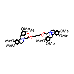 COc1ccc(C[C@@H]2c3cc(OC)c(OC)cc3CCN2CCC(=O)OCCCCCOC(=O)CC[N@@+]2(C)CCc3cc(OC)c(OC)cc3[C@H]2Cc2ccc(OC)c(OC)c2)cc1OC